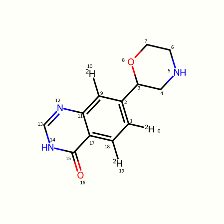 [2H]c1c(C2CNCCO2)c([2H])c2nc[nH]c(=O)c2c1[2H]